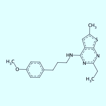 CCc1nc(NCCCc2ccc(OC)cc2)c2cc(C)sc2n1